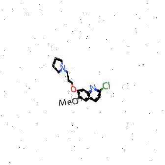 COc1cc2ccc(Cl)nc2cc1OCCCN1CCCC1